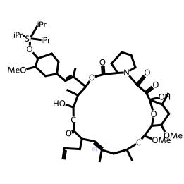 C=CCC1/C=C(\C)CC(C)CC(OC)C2OC(O)(C(=O)C(=O)N3CCCCC3C(=O)OC(C(C)=CC3CCC(O[Si](C(C)C)(C(C)C)C(C)C)C(OC)C3)C(C)C(O)CC1=O)C(C)CC2OC